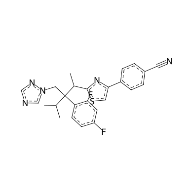 CC(C)C(Cn1cncn1)(c1ccc(F)cc1F)C(C)c1nc(-c2ccc(C#N)cc2)cs1